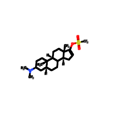 CN(C)[C@H]1CC[C@@]2(C)[C@@H](CCC3[C@@H]2CC[C@]2(C)C(OS(=O)(=O)C(F)(F)F)=CC[C@@H]32)C1